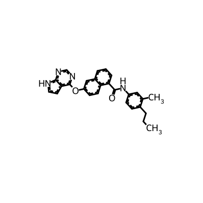 CCCc1ccc(NC(=O)c2cccc3cc(Oc4ncnc5[nH]ccc45)ccc23)cc1C